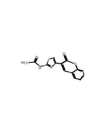 O=C(O)C(=O)Nc1nc(-c2cc3ccccc3oc2=O)cs1